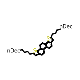 CCCCCCCCCCCCCCc1cc2ccc3c4ccc5cc(CCCCCCCCCCCCCC)sc5c4ccc3c2s1